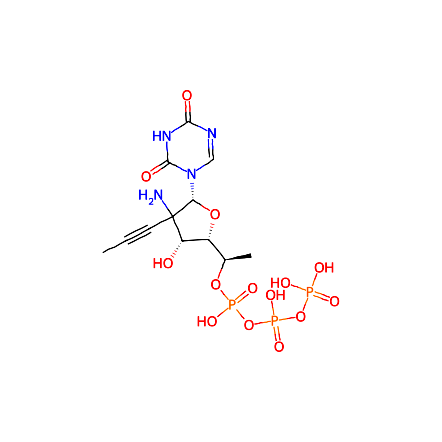 CC#CC1(N)[C@@H](O)[C@@H]([C@@H](C)OP(=O)(O)OP(=O)(O)OP(=O)(O)O)O[C@H]1n1cnc(=O)[nH]c1=O